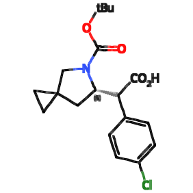 CC(C)(C)OC(=O)N1CC2(CC2)C[C@H]1C(C(=O)O)c1ccc(Cl)cc1